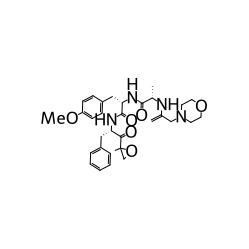 C=C(CN1CCOCC1)N[C@@H](C)C(=O)N[C@@H](Cc1ccc(OC)cc1)C(=O)N[C@@H](Cc1ccccc1)C(=O)C1(C)CO1